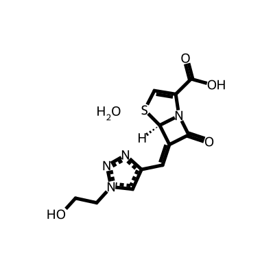 O.O=C(O)C1=CS[C@@H]2C(=Cc3cn(CCO)nn3)C(=O)N12